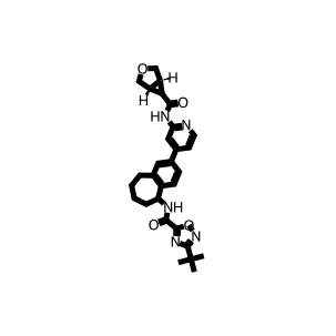 CC(C)(C)c1noc(C(=O)NC2CCCCc3cc(-c4ccnc(NC(=O)C5[C@@H]6COC[C@@H]56)c4)ccc32)n1